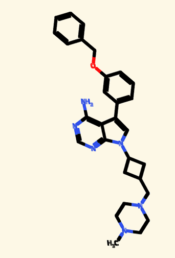 CN1CCN(CC2CC(n3cc(-c4cccc(OCc5ccccc5)c4)c4c(N)ncnc43)C2)CC1